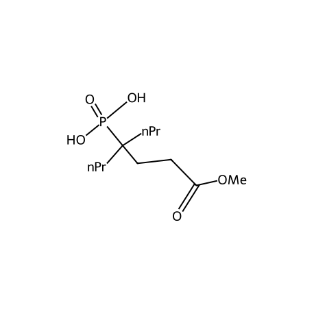 CCCC(CCC)(CCC(=O)OC)P(=O)(O)O